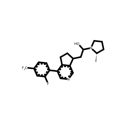 C[C@H]1CCCN1C(O)CC1CCc2c(-c3ccc(C(F)(F)F)cc3F)cncc21